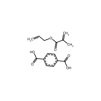 C=CCOC(=O)C(=C)C.O=C(O)c1ccc(C(=O)O)cc1